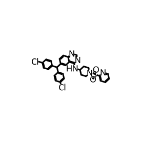 O=S(=O)(c1ccccn1)N1CCC(Nc2ncnc3ccc(C(c4ccc(Cl)cc4)c4ccc(Cl)cc4)cc23)CC1